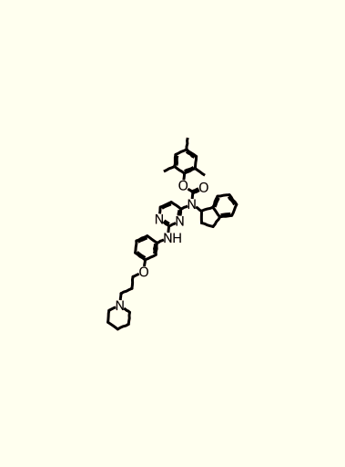 Cc1cc(C)c(OC(=O)N(c2ccnc(Nc3cccc(OCCCN4CCCCC4)c3)n2)C2CCc3ccccc32)c(C)c1